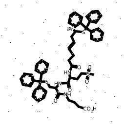 CC(C)C(CC=CCCC(=O)NC(CCS(C)(=O)=O)C(=O)NC(CSC(c1ccccc1)(c1ccccc1)c1ccccc1)C(=O)NCCCC(=O)O)SC(c1ccccc1)(c1ccccc1)c1ccccc1